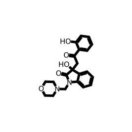 O=C(CC1(O)C(=O)N(CN2CCOCC2)c2ccccc21)c1ccccc1O